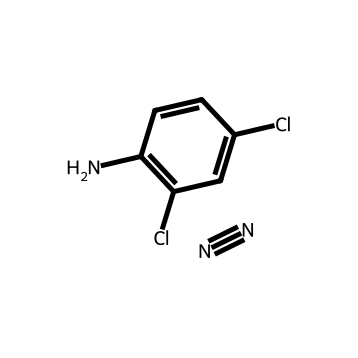 N#N.Nc1ccc(Cl)cc1Cl